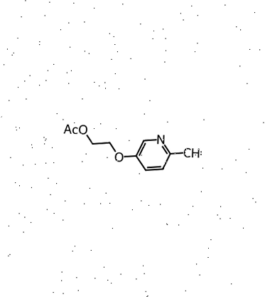 [CH]c1ccc(OCCOC(C)=O)cn1